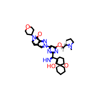 C[C@H](Oc1cc(-n2cc3ccn(C4CCOCC4)c(=O)c3n2)nc(C(=N)C2=C(O)[C@]3(CCCCC3=O)CCC2)n1)[C@@H]1CCCN1C